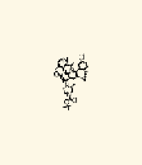 Cc1ccnc(C(C)C)c1-n1c(=O)nc(N2CCN(C(=O)OC(C)(C)C)CC2C)c2cc(C3CC3)c(-c3cc(Cl)ccc3F)nc21